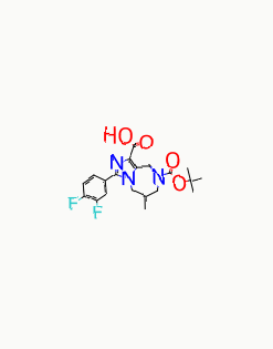 CC1CN(C(=O)OC(C)(C)C)Cc2c(C(=O)O)nc(-c3ccc(F)c(F)c3)n2C1